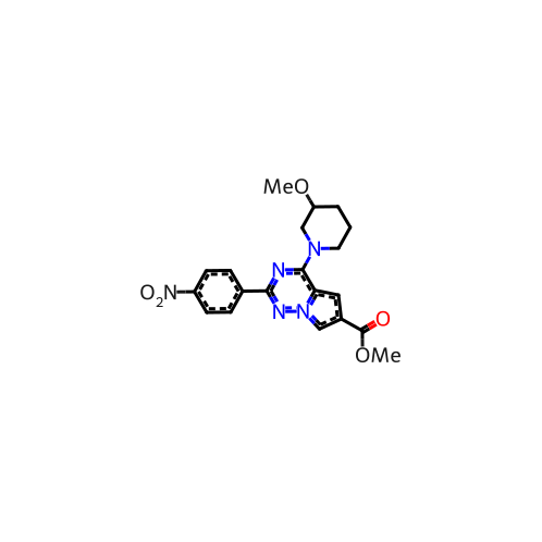 COC(=O)c1cc2c(N3CCCC(OC)C3)nc(-c3ccc([N+](=O)[O-])cc3)nn2c1